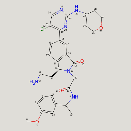 COc1cccc(C(C)NC(=O)CN2C(=O)c3cc(-c4nc(NC5CCOCC5)ncc4Cl)ccc3[C@@H]2CCN)c1